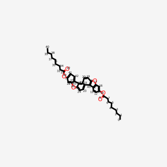 CCCCCCCCC(=O)Oc1ccc2c(c1)oc1ccc3c(ccc4oc5cc(OC(=O)CCCCCCCC)ccc5c43)c12